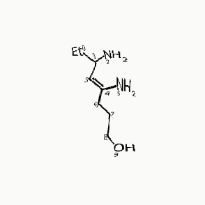 CCC(N)C=C(N)CCCO